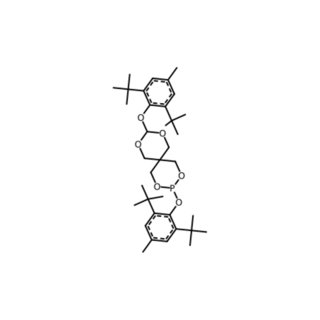 Cc1cc(C(C)(C)C)c(OC2OCC3(CO2)COP(Oc2c(C(C)(C)C)cc(C)cc2C(C)(C)C)OC3)c(C(C)(C)C)c1